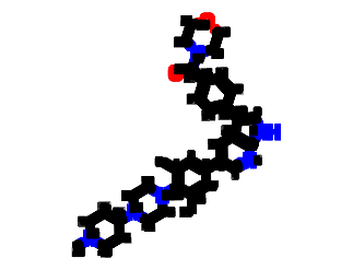 Cc1cc(-c2cnc3[nH]cc(-c4ccc(C(=O)N5CCOCC5)cc4)c3c2)cc(C)c1N1CCN(C2CCN(C)CC2)CC1